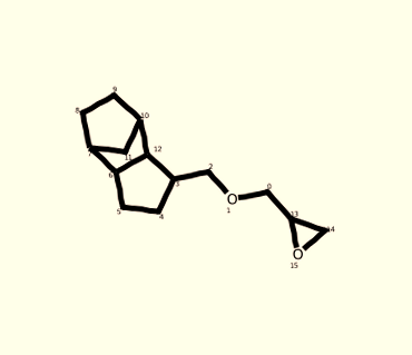 C(OCC1CCC2C3CCC(C3)C12)C1CO1